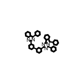 c1ccc(-c2nc(-c3cccc(-c4cccc(-c5nc(-c6ccccc6)n6c(-c7ccccc7)c7ccccc7c6n5)c4)c3)nc3ccccc23)cc1